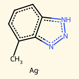 Cc1cccc2[nH]nnc12.[Ag]